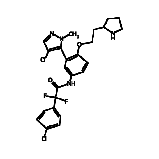 Cn1ncc(Cl)c1-c1cc(NC(=O)C(F)(F)c2ccc(Cl)cc2)ccc1OCCC1CCCN1